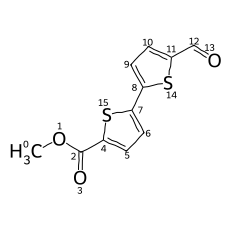 COC(=O)c1ccc(-c2ccc(C=O)s2)s1